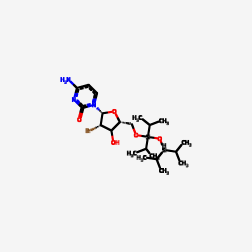 CC(C)[SiH](O[Si](OC[C@H]1O[C@@H](n2ccc(N)nc2=O)[C@@H](Br)C1O)(C(C)C)C(C)C)C(C)C